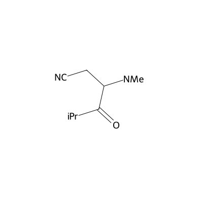 CNC(CC#N)C(=O)C(C)C